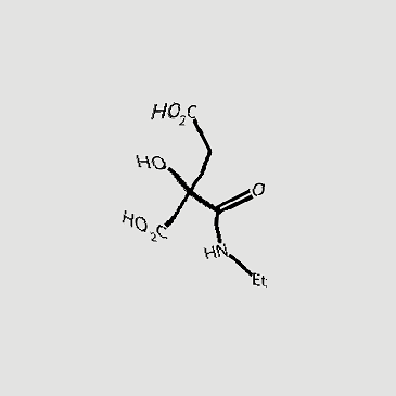 CCNC(=O)C(O)(CC(=O)O)C(=O)O